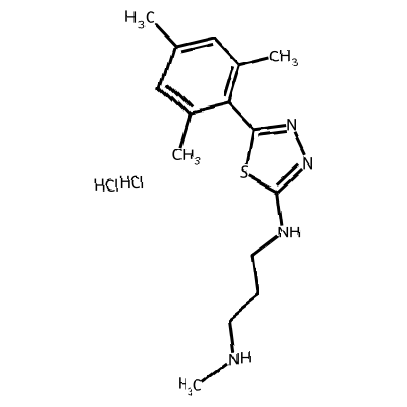 CNCCCNc1nnc(-c2c(C)cc(C)cc2C)s1.Cl.Cl